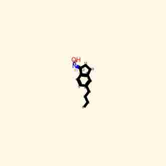 CCCCc1ccc2c(c1)CC/C2=N\O